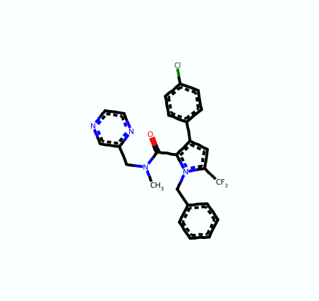 CN(Cc1cnccn1)C(=O)c1c(-c2ccc(Cl)cc2)cc(C(F)(F)F)n1Cc1ccccc1